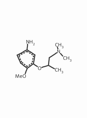 COc1ccc(N)cc1OC(C)CN(C)C